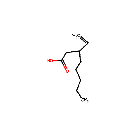 C=CC(CCCCC)CC(=O)O